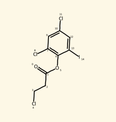 O=C(CCCl)Oc1c(Cl)cc(Cl)cc1I